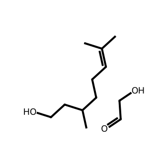 CC(C)=CCCC(C)CCO.O=CCO